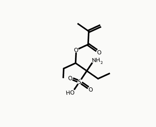 C=C(C)C(=O)OC(CC)C(N)(CC)S(=O)(=O)O